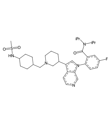 CC(C)N(C(=O)c1cc(F)ccc1-n1cc(C2CCCN(CC3CCC(NS(C)(=O)=O)CC3)C2)c2ccncc21)C(C)C